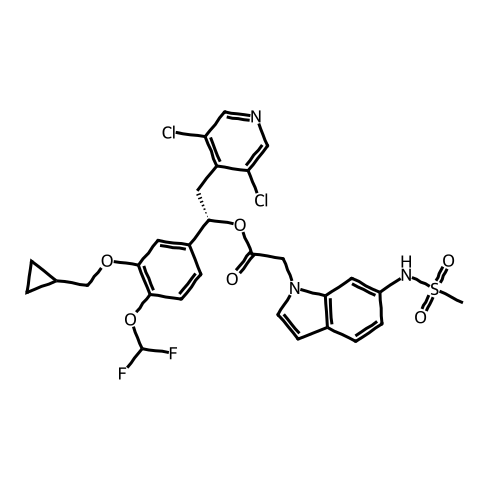 CS(=O)(=O)Nc1ccc2ccn(CC(=O)O[C@@H](Cc3c(Cl)cncc3Cl)c3ccc(OC(F)F)c(OCC4CC4)c3)c2c1